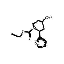 CCOC(=O)N1CCC(O)CC1c1cccs1